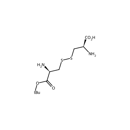 CC(C)(C)OC(=O)[C@@H](N)CSSC[C@H](N)C(=O)O